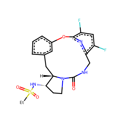 CCS(=O)(=O)N[C@H]1CCN2C(=O)NCc3nc(c(F)cc3F)Oc3cccc(c3)C[C@@H]12